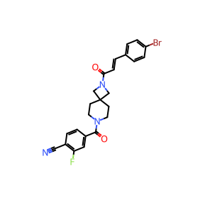 N#Cc1ccc(C(=O)N2CCC3(CC2)CN(C(=O)/C=C/c2ccc(Br)cc2)C3)cc1F